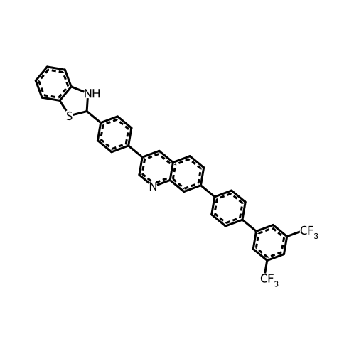 FC(F)(F)c1cc(-c2ccc(-c3ccc4cc(-c5ccc(C6Nc7ccccc7S6)cc5)cnc4c3)cc2)cc(C(F)(F)F)c1